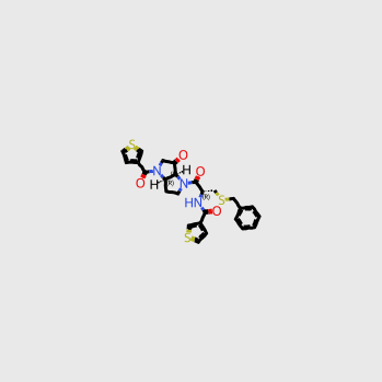 O=C(N[C@@H](CSCc1ccccc1)C(=O)N1CC[C@@H]2[C@H]1C(=O)CN2C(=O)c1ccsc1)c1ccsc1